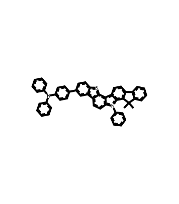 CC1(C)c2ccccc2-c2ccc3c4c5sc6ccc(-c7ccc(N(c8ccccc8)c8ccccc8)cc7)cc6c5ccc4n(-c4ccccc4)c3c21